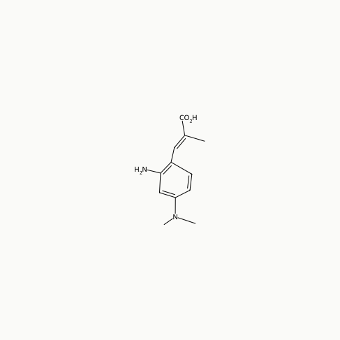 C/C(=C\c1ccc(N(C)C)cc1N)C(=O)O